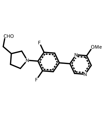 COc1cncc(-c2cc(F)c(N3CCC(CC=O)C3)c(F)c2)n1